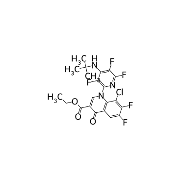 CCOC(=O)c1cn(-c2nc(F)c(F)c(NC(C)(C)C)c2F)c2c(Cl)c(F)c(F)cc2c1=O